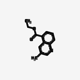 CCOC(=O)c1cccc2ncc(C)cc12